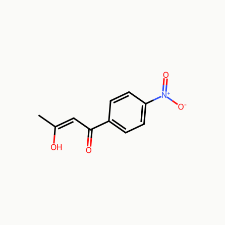 C/C(O)=C/C(=O)c1ccc([N+](=O)[O-])cc1